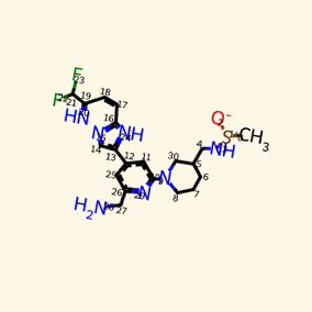 C[S+]([O-])NCC1CCCN(c2cc(-c3cnc(/C=C\C(=N)C(F)F)[nH]3)cc(CN)n2)C1